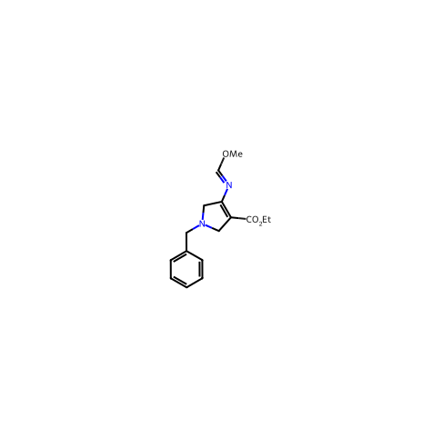 CCOC(=O)C1=C(/N=C/OC)CN(Cc2ccccc2)C1